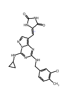 Cc1ccc(CNc2nc(NC3CC3)n3ncc(/C=C4\NC(=O)NC4=O)c3n2)cc1Cl